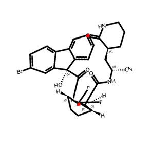 N#C[C@@H](C[C@@H]1CCCNC1=O)NC(=O)[C@H]1[C@@H]2CC[C@@H](CC2(F)F)N1C(=O)[C@]1(O)c2ccccc2-c2ccc(Br)cc21